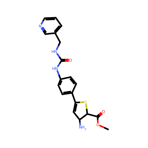 COC(=O)C1SC(c2ccc(NC(=O)NCc3cccnc3)cc2)=CC1N